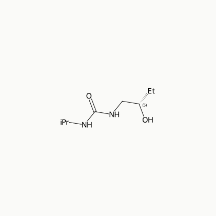 CC[C@H](O)CNC(=O)NC(C)C